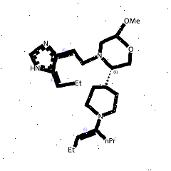 CC/C=C(\CCC)N1CCC([C@H]2COC(OC)CN2C/C=c2/nc[nH]/c2=C/CC)CC1